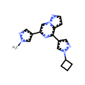 Cn1cc(-c2cn3nccc3c(-c3cnn(C4CCC4)c3)n2)cn1